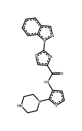 O=C(Nc1ccsc1N1CCNCC1)c1csc(-n2ncc3ccccc32)n1